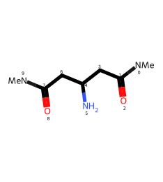 CNC(=O)CC(N)CC(=O)NC